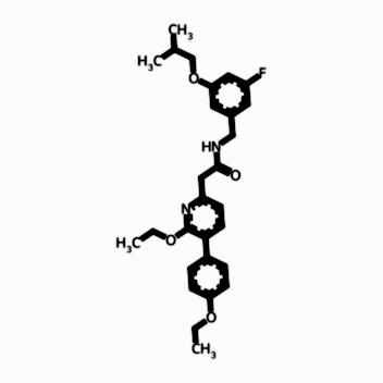 CCOc1ccc(-c2ccc(CC(=O)NCc3cc(F)cc(OCC(C)C)c3)nc2OCC)cc1